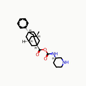 C[C@]12C[C@H]3C[C@@](C(=O)OC(=O)N[C@@H]4CCCNC4)(C1)C[C@@](c1ccccc1)(C3)C2